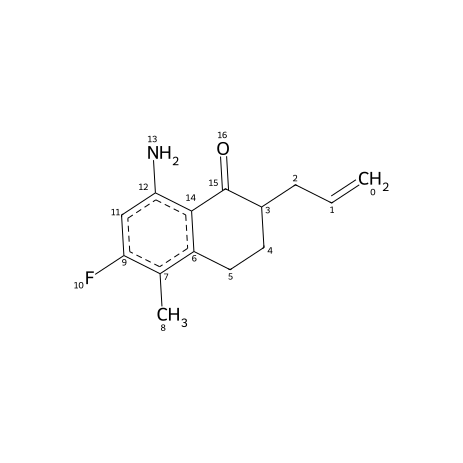 C=CCC1CCc2c(C)c(F)cc(N)c2C1=O